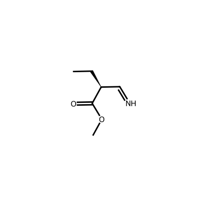 CC[C@@H](C=N)C(=O)OC